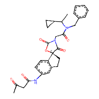 CC(=O)CC(=O)Nc1ccc2c(c1)CC[C@]21OC(=O)N(CC(=O)N(Cc2ccccc2)C(C)C2CC2)C1=O